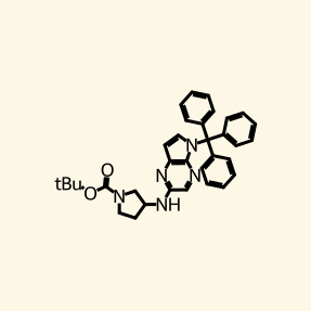 CC(C)(C)OC(=O)N1CCC(Nc2cnc3c(ccn3C(c3ccccc3)(c3ccccc3)c3ccccc3)n2)C1